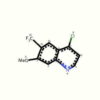 COc1cc2nccc(Cl)c2cc1C(F)(F)F